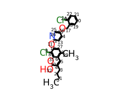 CCCCC(=Cc1cc(Cl)c(Oc2ccc(OCc3ccccc3Cl)cn2)cc1C)C(=O)O